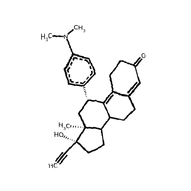 C#C[C@]1(O)CCC2C3CCC4=CC(=O)CCC4=C3[C@@H](c3ccc(N(C)C)cc3)C[C@@]21C